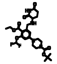 CCOC(=O)c1c(CNC2CCC(=O)NC2=O)cc(N2CCN(C(=O)OC(C)(C)C)CC2)cc1OC(F)F